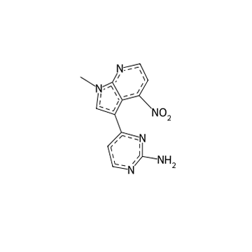 Cn1cc(-c2ccnc(N)n2)c2c([N+](=O)[O-])ccnc21